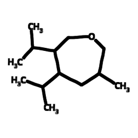 CC1COCC(C(C)C)C(C(C)C)C1